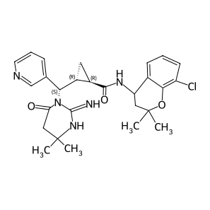 CC1(C)CC(=O)N([C@H](c2cccnc2)[C@@H]2C[C@H]2C(=O)NC2CC(C)(C)Oc3c(Cl)cccc32)C(=N)N1